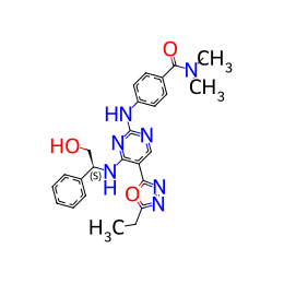 CCc1nnc(-c2cnc(Nc3ccc(C(=O)N(C)C)cc3)nc2N[C@H](CO)c2ccccc2)o1